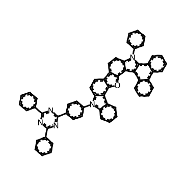 c1ccc(-c2nc(-c3ccccc3)nc(-c3ccc(-n4c5ccccc5c5c6oc7c(ccc8c7c7c9ccccc9c9ccccc9c7n8-c7ccccc7)c6ccc54)cc3)n2)cc1